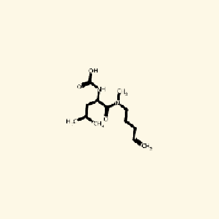 C=CCCCN(C)C(=O)C(CC(C)C)NC(=O)O